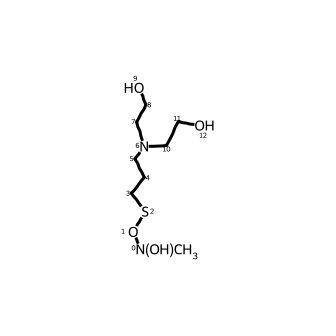 CN(O)OSCCCN(CCO)CCO